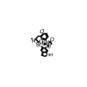 COc1ccc(N(C(C)=O)S(=O)(=O)c2cc3c(cc2Br)CCN3)c2c1C[C@@H](N(C)C)CO2